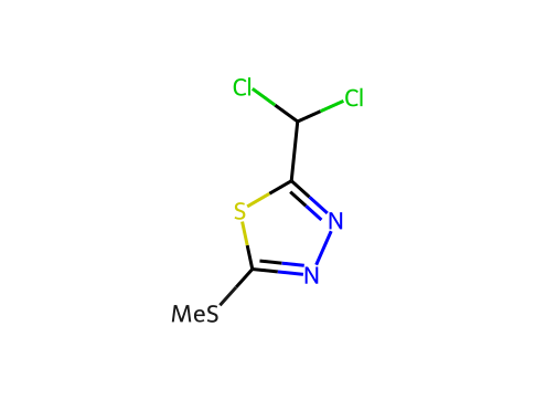 CSc1nnc(C(Cl)Cl)s1